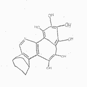 Oc1c(O)c(O)c2c(c1O)c(O)c(O)c1c3c(cnc12)C1CCC3CC1